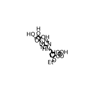 CCOc1ccc(CNc2ncnc3c2ncn3[C@@H]2O[C@H](CO)[C@@H](O)[C@H]2O)cc1OP(=O)(O)O